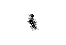 CN(C)c1cc(NC(=O)c2cccc(C(F)(F)F)c2)c(O)c2c1CC1CC3[C@H](N(C)C)C(O)=C(C(N)=O)C(=O)[C@@]3(O)C(O)=C1C2=O.Cl